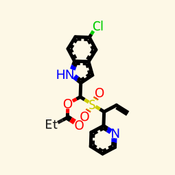 C=CC(c1ccccn1)S(=O)(=O)C(OC(=O)CC)c1cc2cc(Cl)ccc2[nH]1